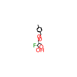 Cc1ccc(COOC[C@H]2COC(O)[C@H]2F)cc1